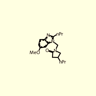 CCCc1nc2ccc(OC)cc2n1CN1CC(CCC)CC1=O